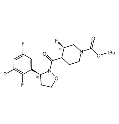 CC(C)(C)OC(=O)N1CCC(C(=O)N2OCC[C@H]2c2cc(F)cc(F)c2F)[C@@H](F)C1